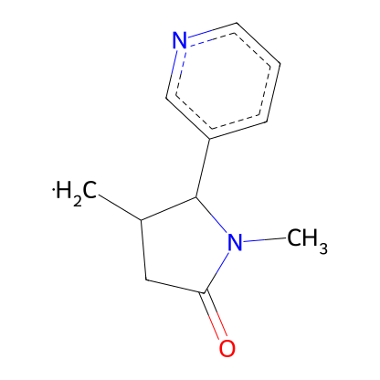 [CH2]C1CC(=O)N(C)C1c1cccnc1